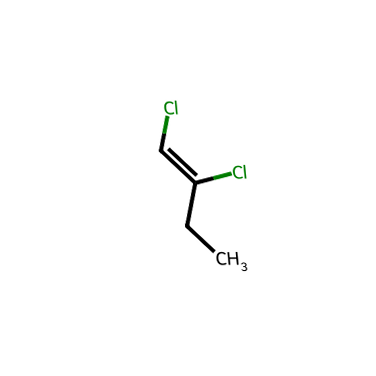 CC/C(Cl)=C/Cl